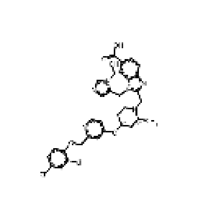 CCn1cncc1Cn1c(CN2CC[C@H](Oc3ccnc(COc4ccc(Cl)cc4Cl)c3)C[C@@H]2C)nc2ccc(C(=O)O)cc21